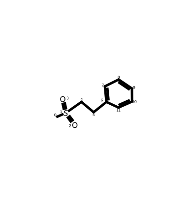 CS(=O)(=O)CCc1c[c]ccc1